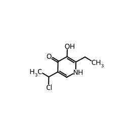 CCc1[nH]cc(C(C)Cl)c(=O)c1O